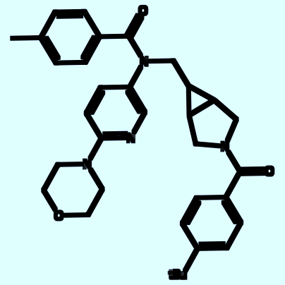 Cc1ccc(C(=O)N(CC2C3CN(C(=O)c4ccc(C(C)(C)C)cc4)CC32)c2ccc(N3CCOCC3)nc2)cc1